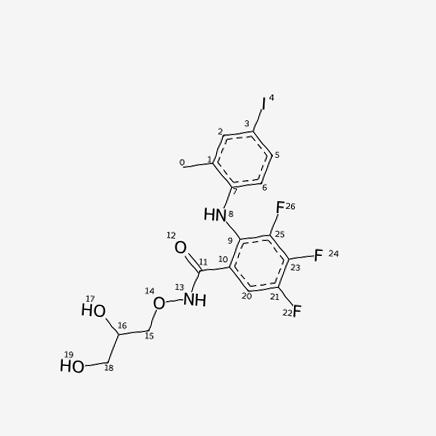 Cc1cc(I)ccc1Nc1c(C(=O)NOCC(O)CO)cc(F)c(F)c1F